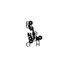 CN(C)C[C@H]1Cc2cc(Cl)ccc2N(C(=O)[C@@H](Cc2c[nH]c3ccccc23)NC(=O)CCC2CCN(C(=O)c3ccccc3F)CC2)C1